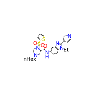 CCCCCCN1CCN(S(=O)(=O)c2cccs2)C(C(=O)Nc2ccc3c(c2)nc(-c2ccncc2)n3CC)C1